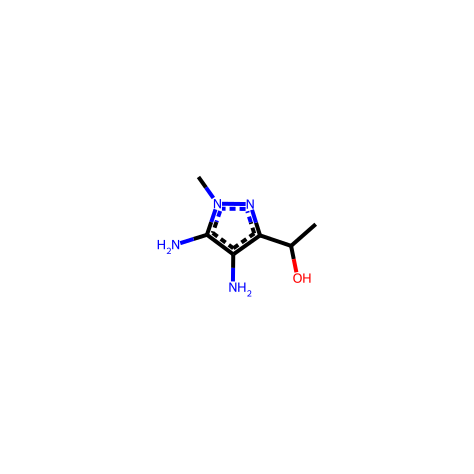 CC(O)c1nn(C)c(N)c1N